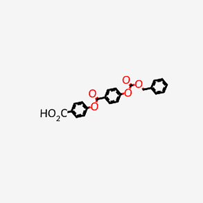 O=C(OCc1ccccc1)Oc1ccc(C(=O)Oc2ccc(C(=O)O)cc2)cc1